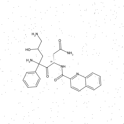 NCC(O)CC(N)(C(=O)[C@H](CC(N)=O)NC(=O)c1ccc2ccccc2n1)c1ccccc1